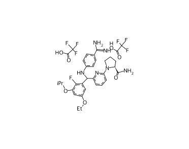 CCOc1cc(OC(C)C)c(F)c(C(Nc2ccc(C(=N)N)cc2)c2cccc(N3CCC[C@H]3C(N)=O)n2)c1.O=C(O)C(F)(F)F.O=C(O)C(F)(F)F